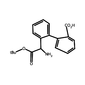 CC(C)(C)OC(=O)C(N)c1ccccc1-c1ccccc1C(=O)O